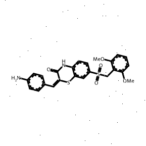 COc1cccc(OC)c1CS(=O)(=O)c1ccc2c(c1)SC(=Cc1ccc(N)cc1)C(=O)N2